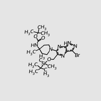 CC1(NC(=O)OC(C)(C)C)CCN(c2nc3[nH]nc(Br)c3nc2CO[Si](C)(C)C(C)(C)C)CC1